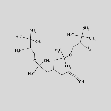 C=C=CCC(CC(C)(C)OCC(P)C(C)(C)N)CC(C)(C)OCC(P)C(C)(C)N